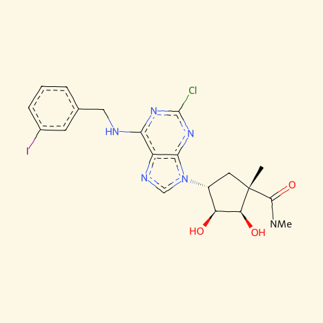 CNC(=O)[C@@]1(C)C[C@@H](n2cnc3c(NCc4cccc(I)c4)nc(Cl)nc32)[C@H](O)[C@@H]1O